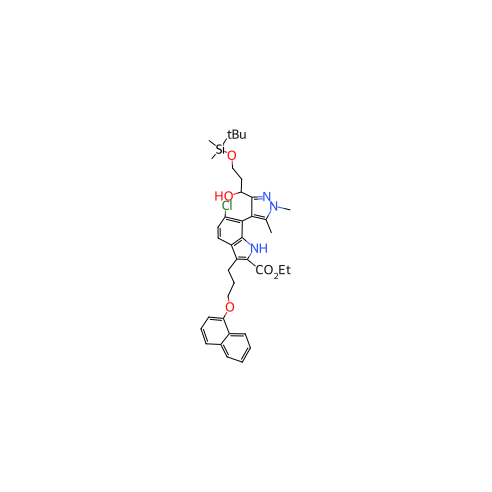 CCOC(=O)c1[nH]c2c(-c3c(C(O)CCO[Si](C)(C)C(C)(C)C)nn(C)c3C)c(Cl)ccc2c1CCCOc1cccc2ccccc12